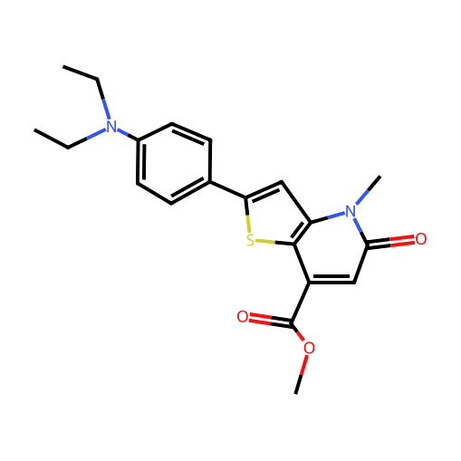 CCN(CC)c1ccc(-c2cc3c(s2)c(C(=O)OC)cc(=O)n3C)cc1